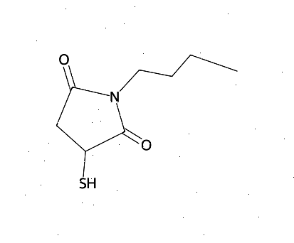 CCCCN1C(=O)CC(S)C1=O